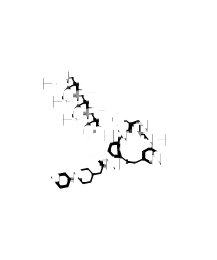 O=C(CC1CCN(c2ccncc2)CC1)Nc1ccc2cc1CCc1cncc(c1)Nc1ncc(Cl)c(n1)N2.O=C(O)C(F)(F)F.O=C(O)C(F)(F)F.O=C(O)C(F)(F)F